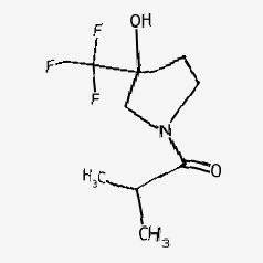 CC(C)C(=O)N1CCC(O)(C(F)(F)F)C1